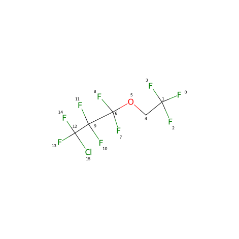 FC(F)(F)COC(F)(F)C(F)(F)C(F)(F)Cl